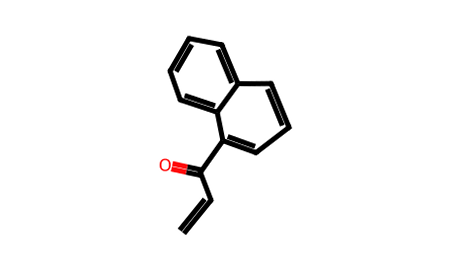 C=CC(=O)c1cccc2ccccc12